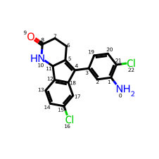 Nc1cc(C2=C3CCC(=O)NC3c3ccc(Cl)cc32)ccc1Cl